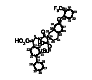 CC(C)(C)OC(=O)[N+]1(C(=O)NCC(C(=O)O)c2ccc(-c3ccccc3)cc2)CCc2ccc(Oc3ccccc3C(F)(F)F)cc2C1